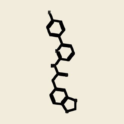 O=C(Cc1ccc2c(c1)OCO2)Nc1cccc(-c2ccc(F)cc2)n1